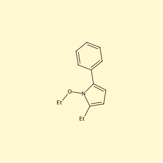 CCOn1c(CC)ccc1-c1ccccc1